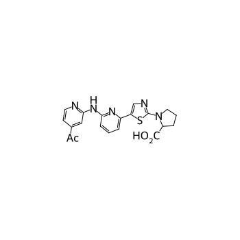 CC(=O)c1ccnc(Nc2cccc(-c3cnc(N4CCCC4C(=O)O)s3)n2)c1